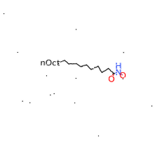 CCCCCCCCCCCCCCCCCC(=O)N[O]